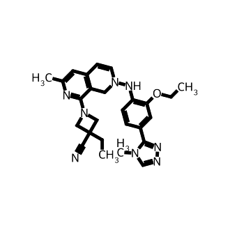 CCOc1cc(-c2nncn2C)ccc1NN1C=Cc2cc(C)nc(N3CC(C#N)(CC)C3)c2C1